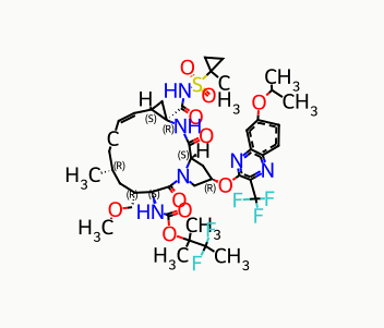 COC[C@@H]1C[C@H](C)CCC=C[C@@H]2C[C@@]2(C(=O)NS(=O)(=O)C2(C)CC2)NC(=O)[C@@H]2C[C@@H](Oc3nc4cc(OC(C)C)ccc4nc3C(F)(F)F)CN2C(=O)[C@H]1NC(=O)OC(C)(C)C(C)(F)F